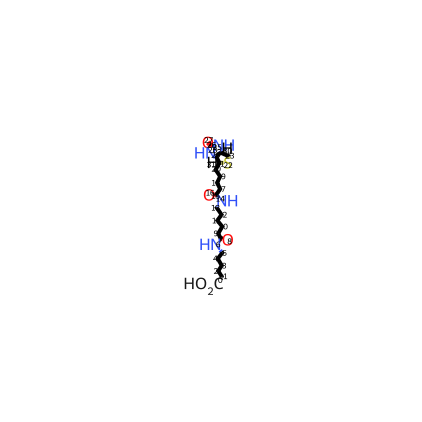 O=C(O)CCCCCNC(=O)CCCCCNC(=O)CCCCC1SC[C@@H]2NC(=O)N[C@H]12